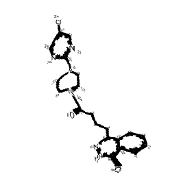 O=C(CCCc1n[nH]c(=O)c2ccccc12)N1CCN(c2ncc(Cl)cn2)CC1